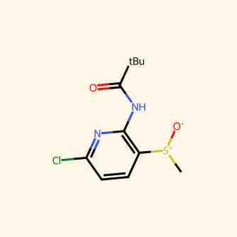 C[S+]([O-])c1ccc(Cl)nc1NC(=O)C(C)(C)C